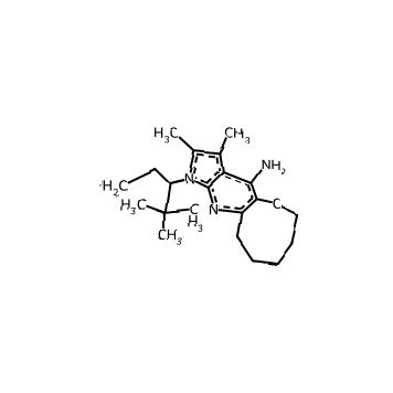 [CH2]CC(n1c(C)c(C)c2c(N)c3c(nc21)CCCCCC3)C(C)(C)C